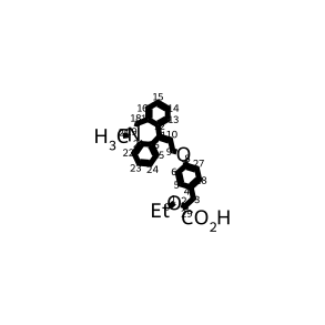 CCOC(Cc1ccc(OC/C=C2/c3ccccc3CN(C)c3ccccc32)cc1)C(=O)O